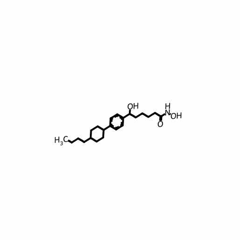 CCCCC1CCC(c2ccc(C(O)CCCCC(=O)NO)cc2)CC1